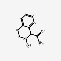 NC(=O)C1c2cc[c]cc2CCN1O